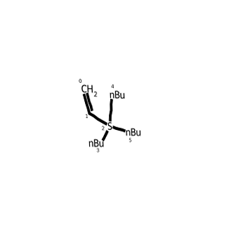 C=CS(CCCC)(CCCC)CCCC